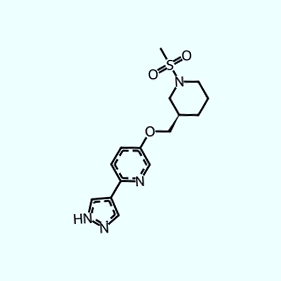 CS(=O)(=O)N1CCC[C@@H](COc2ccc(-c3cn[nH]c3)nc2)C1